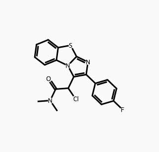 CN(C)C(=O)C(Cl)c1c(-c2ccc(F)cc2)nc2sc3ccccc3n12